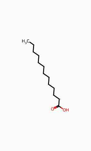 CCCCCCCCCCC[CH]C(=O)O